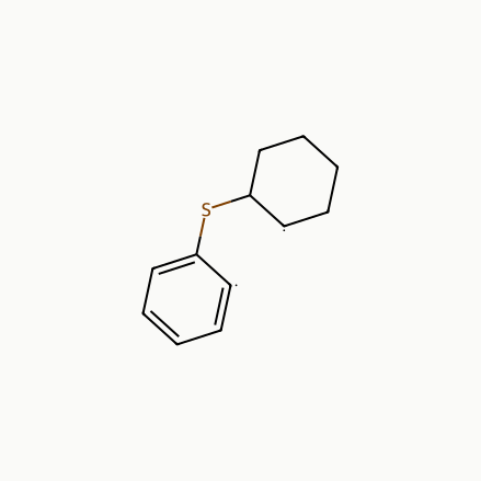 [c]1ccccc1SC1[CH]CCCC1